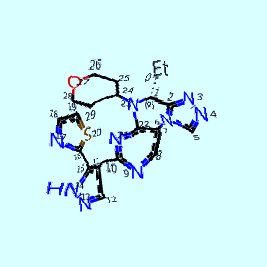 CC[C@@H]1c2nncn2-c2cnc(-c3cn[nH]c3-c3nccs3)nc2N1C1CCOCC1